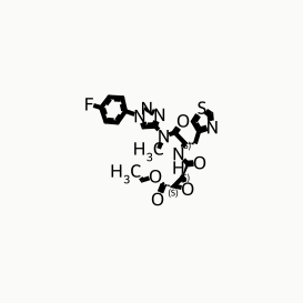 CCOC(=O)[C@H]1O[C@@H]1C(=O)N[C@@H](Cc1cscn1)C(=O)N(C)c1cn(-c2ccc(F)cc2)nn1